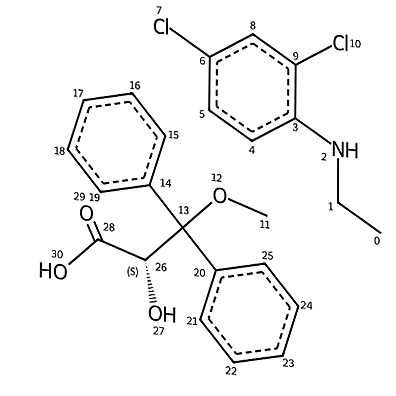 CCNc1ccc(Cl)cc1Cl.COC(c1ccccc1)(c1ccccc1)[C@H](O)C(=O)O